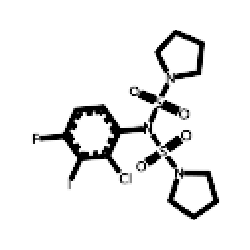 O=S(=O)(N1CCCC1)N(c1ccc(F)c(I)c1Cl)S(=O)(=O)N1CCCC1